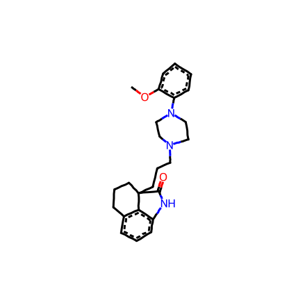 COc1ccccc1N1CCN(CCCC23CCCc4cccc(c42)NC3=O)CC1